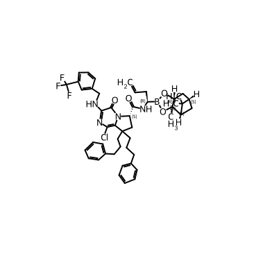 C=CC[C@H](NC(=O)[C@@H]1CC(CCCc2ccccc2)(CCCc2ccccc2)c2c(Cl)nc(NCc3cccc(C(F)(F)F)c3)c(=O)n21)B1O[C@@H]2C[C@@H]3C[C@@H](C3(C)C)[C@]2(C)O1